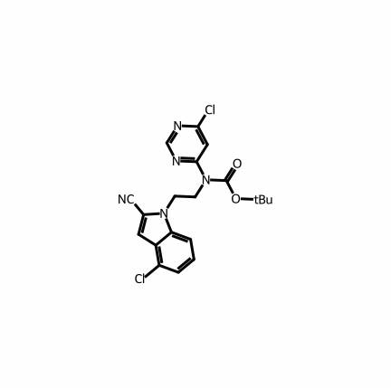 CC(C)(C)OC(=O)N(CCn1c(C#N)cc2c(Cl)cccc21)c1cc(Cl)ncn1